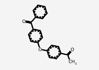 CC(=O)c1ccc(Oc2ccc(C(=O)c3ccccc3)cc2)cc1